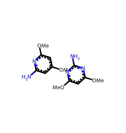 COc1cc(N)nc(OC)c1.COc1cc(OC)nc(N)n1